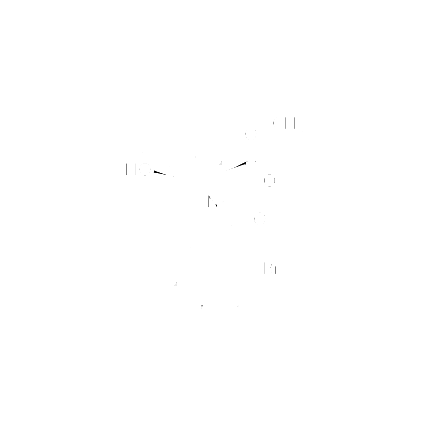 COC(=O)[C@@H]1C[C@H](O)CN1C(=O)c1ccccc1Br